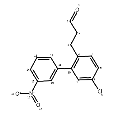 O=CCCc1ccc(Cl)cc1-c1cccc([N+](=O)[O-])c1